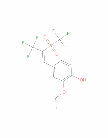 CCOc1cc(/C=C(/C(F)(F)F)S(=O)(=O)C(F)(F)F)ccc1O